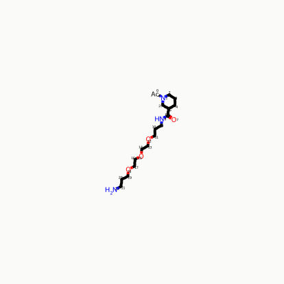 CC(=O)N1CCCC(C(=O)NCCCOCCOCCOCCCN)C1